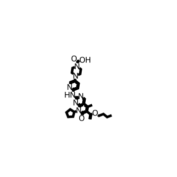 C=C(OCCCC)c1c(C)c2cnc(Nc3ccc(N4CCN(C(=O)O)CC4)cn3)nc2n(C2CCCC2)c1=O